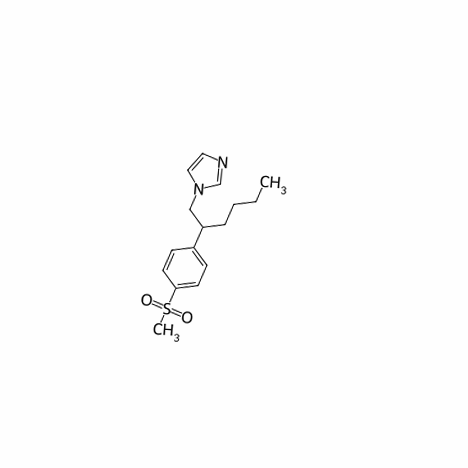 CCCCC(Cn1ccnc1)c1ccc(S(C)(=O)=O)cc1